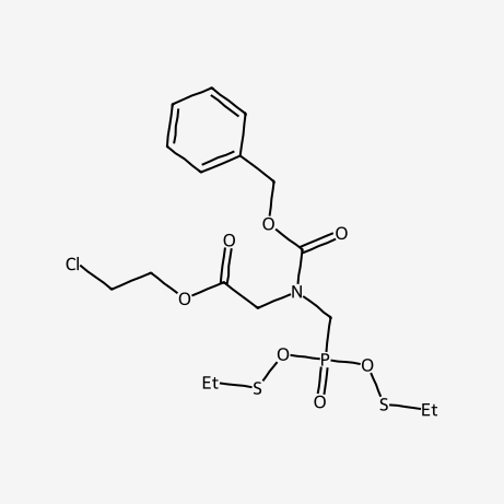 CCSOP(=O)(CN(CC(=O)OCCCl)C(=O)OCc1ccccc1)OSCC